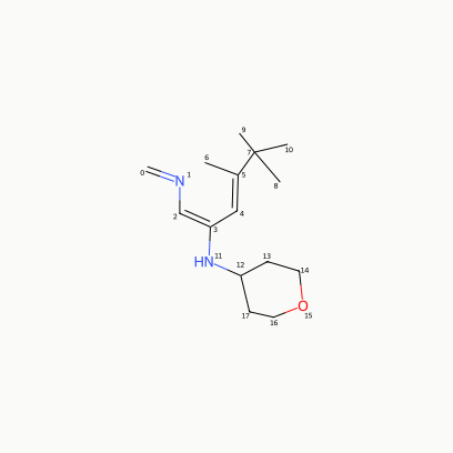 C=N/C=C(\C=C(/C)C(C)(C)C)NC1CCOCC1